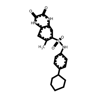 Cc1cc2[nH]c(=O)c(=O)[nH]c2cc1S(=O)(=O)Nc1ccc(C2CCCCC2)cc1